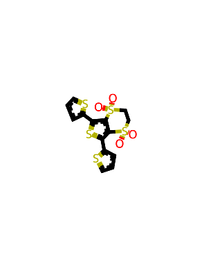 O=S1(=O)CCS(=O)(=O)c2c(-c3cccs3)sc(-c3cccs3)c21